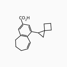 O=C(O)c1cc2c(c(C3CC34CCC4)c1)C=CCCC2